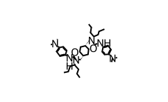 CCCC(CCC)N(C[C@H]1CC[C@@H](CN(C(=O)Nc2ccc(N(C)C)cc2)C(CCC)CCC)CC1)C(=O)Nc1ccc(N(C)C)cc1